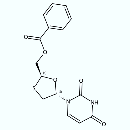 O=C(OC[C@H]1O[C@H](n2ccc(=O)[nH]c2=O)CS1)c1ccccc1